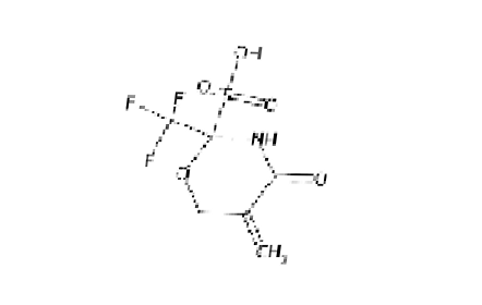 C=C1COC(C(F)(F)F)(S(=O)(=O)O)NC1=O